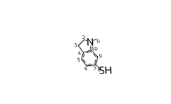 CN1CCc2ccc(S)cc21